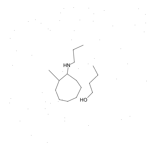 CCCCO.CCCNC1CCCCCCC1C